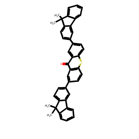 CC1(C)c2ccccc2-c2cc(-c3ccc4sc5ccc(-c6ccc7c(c6)-c6ccccc6C7(C)C)cc5c(=O)c4c3)ccc21